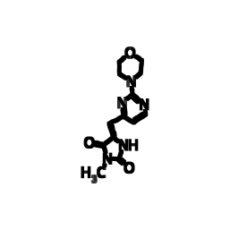 CN1C(=O)N/C(=C\c2ccnc(N3CCOCC3)n2)C1=O